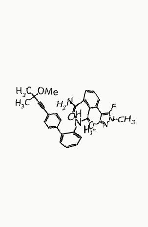 COC(C)(C)C#Cc1ccc(-c2ccccc2NC(=O)c2c(C(N)=O)cccc2-c2c(C)nn(C)c2F)cc1